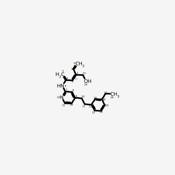 C=C/C(=C\C(=C)Nc1cc(CCc2cccc(CC)c2)ccn1)CO